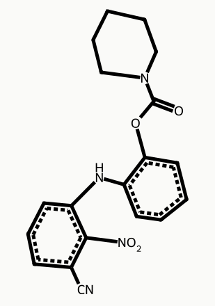 N#Cc1cccc(Nc2ccccc2OC(=O)N2CCCCC2)c1[N+](=O)[O-]